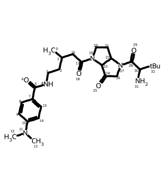 CC(CCNC(=O)c1ccc(N(C)C)cc1)CC(=O)N1CCC2C1C(=O)CN2C(=O)C(N)C(C)(C)C